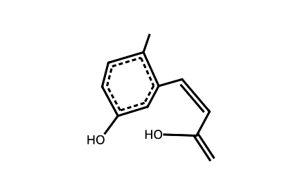 C=C(O)/C=C\c1cc(O)ccc1C